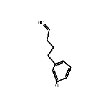 [CH]=CCCCc1cccc(Cl)c1